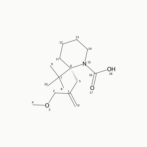 C=C(COC)C[C@]1(C(C)(C)C)CCCCN1C(=O)O